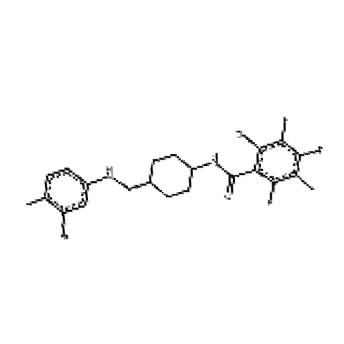 Cc1ccc(NCC2CCC(NC(=O)c3c(F)c(C)c(F)c(F)c3Cl)CC2)cc1Br